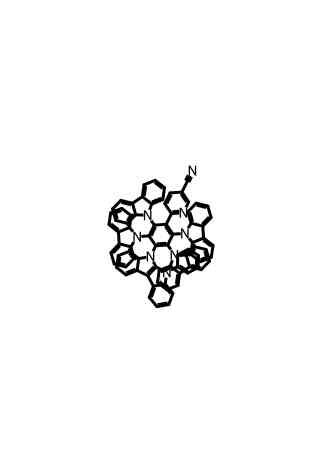 N#Cc1ccc(-c2c(-n3c4ccccc4c4ccccc43)c(-n3c4ccccc4c4ccccc43)c(-n3c4ccccc4c4c5ccccc5n(-c5ccccc5)c43)c(-n3c4ccccc4c4ccccc43)c2-n2c3ccccc3c3ccccc32)nc1